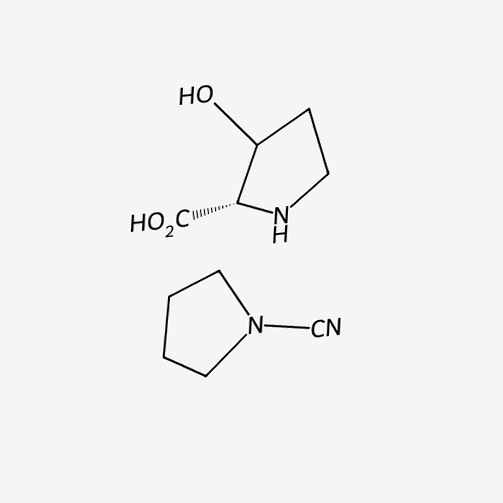 N#CN1CCCC1.O=C(O)[C@H]1NCCC1O